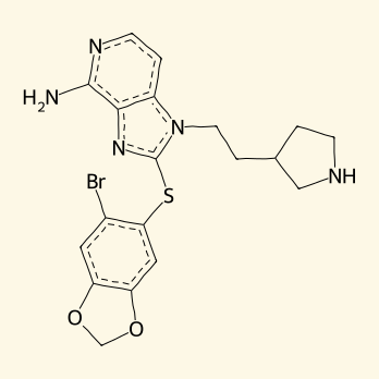 Nc1nccc2c1nc(Sc1cc3c(cc1Br)OCO3)n2CCC1CCNC1